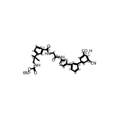 CC(C)(C)OC(=O)NCC(C)(C)c1cccc(C(=O)NCC(=O)Nc2nc(-c3cccc(-c4cc(C#N)cc(C(=O)O)c4)c3)cs2)c1